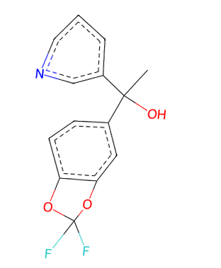 CC(O)(c1cccnc1)c1ccc2c(c1)OC(F)(F)O2